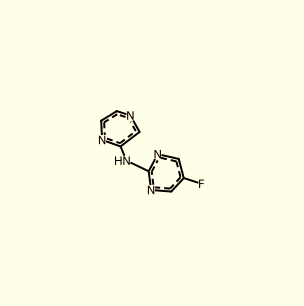 Fc1cnc(Nc2cnccn2)nc1